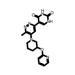 Cc1nnc(-c2c[nH]c(=O)[nH]c2=O)cc1N1CCCC(Oc2ccccn2)C1